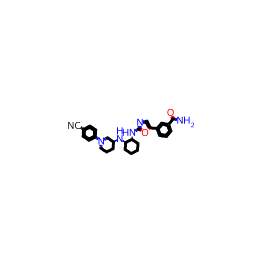 N#Cc1ccc(N2CCC[C@H](N[C@@H]3CCCC[C@H]3Nc3ncc(-c4cccc(C(N)=O)c4)o3)C2)cc1